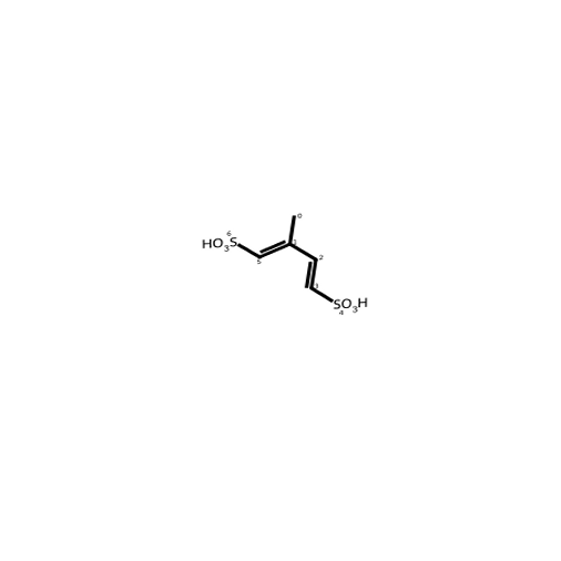 CC(C=CS(=O)(=O)O)=CS(=O)(=O)O